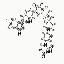 CC(C(=O)N(C)c1ccc2cc(-c3n[nH]c4c3CCC(C)(C)C4)[nH]c2c1)N1CCN(CC2CCN(c3ccc(N4CCC(=O)NC4=O)cn3)CC2)CC1